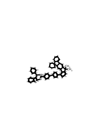 CC1(C)C2=CC3C4=CC=CCC4C4(CCCCC4)C3C=C2c2c(-c3ccc(-c4ccc(C5=Nc6sc7ccccc7c6C(c6ccccc6)N5)cc4)cc3)cccc21